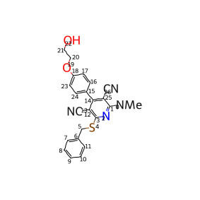 CNc1nc(SCc2ccccc2)c(C#N)c(-c2ccc(OCCO)cc2)c1C#N